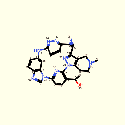 Cc1ccc(Nc2ccc3ncn(-c4ccc(C(C)O)c(-n5nc(C#N)c6c5CCN(C)C6)n4)c3c2)nn1